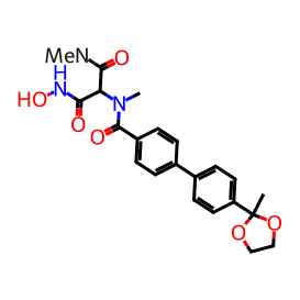 CNC(=O)C(C(=O)NO)N(C)C(=O)c1ccc(-c2ccc(C3(C)OCCO3)cc2)cc1